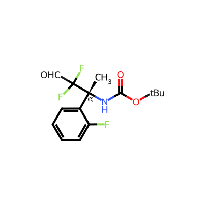 CC(C)(C)OC(=O)N[C@](C)(c1ccccc1F)C(F)(F)C=O